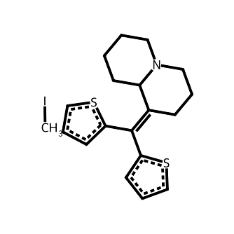 CI.c1csc(C(=C2CCCN3CCCCC23)c2cccs2)c1